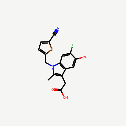 Cc1c(CC(=O)O)c2cc(O)c(F)cc2n1Cc1ccc(C#N)s1